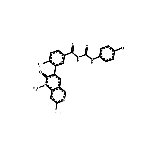 Cc1cc2c(cn1)cc(-c1cc(C(=O)NC(=O)Nc3ccc(Cl)cc3)ccc1C)c(=O)n2C